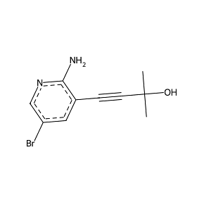 CC(C)(O)C#Cc1cc(Br)cnc1N